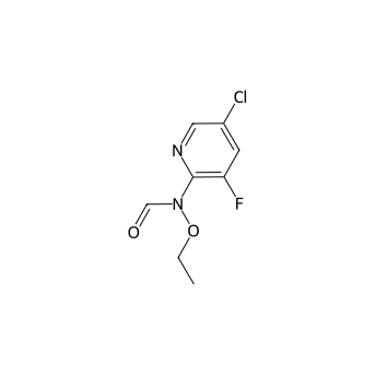 CCON(C=O)c1ncc(Cl)cc1F